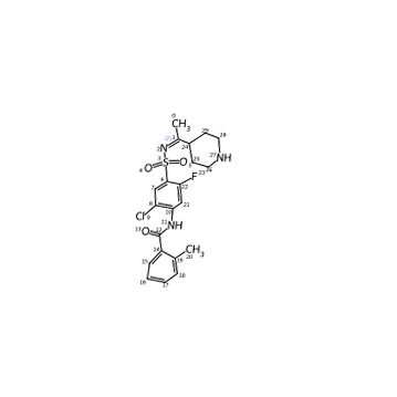 C/C(=N/S(=O)(=O)c1cc(Cl)c(NC(=O)c2ccccc2C)cc1F)C1CCNCC1